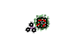 Fc1c(F)c(F)c2c([B-](c3c(F)c(F)c(F)c4c(F)c(F)c(F)c(F)c34)(c3c(F)c(F)c(F)c4c(F)c(F)c(F)c(F)c34)c3c(F)c(F)c(F)c4c(F)c(F)c(F)c(F)c34)c(F)c(F)c(F)c2c1F.c1ccc([PH+](c2ccccc2)c2ccccc2)cc1